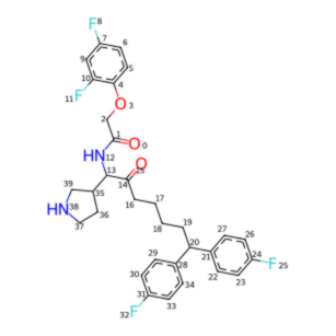 O=C(COc1ccc(F)cc1F)NC(C(=O)CCCCC(c1ccc(F)cc1)c1ccc(F)cc1)C1CCNC1